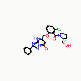 O=C(c1c(Cl)cccc1OCc1cc(=O)n2nc(-c3ccccc3)nc2[nH]1)N1CCC[C@H]1CO